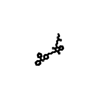 CCOC(=O)CCCn1c(=O)n(CCCCN2CCC(OC(c3ccccc3)c3ccccc3)CC2)c(=O)c2ccccc21